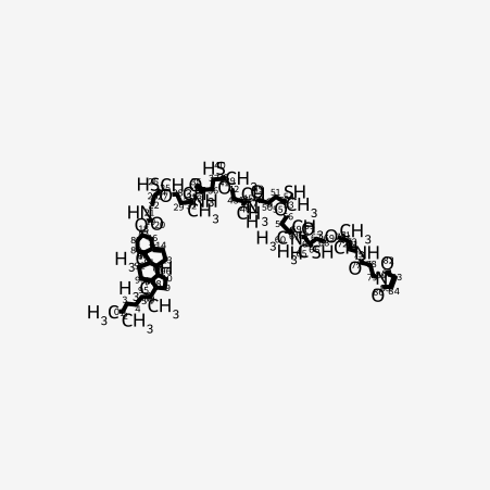 CC(C)CCC[C@@H](C)C1CCC2[C@@H]3CC=C4C[C@@H](OC(=O)NCCC(C)(S)OCCC(C)(C)NC(=O)CCC(C)(S)OCCC(C)(C)NC(=O)CCC(C)(S)OCCC(C)(C)NC(=O)C(C)(S)CCOC(C)(C)CCNC(=O)CCN5C(=O)C=CC5=O)CC[C@]4(C)C3CC[C@@]21C